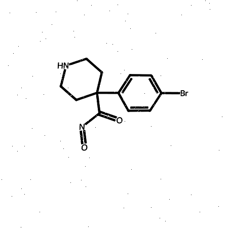 O=NC(=O)C1(c2ccc(Br)cc2)CCNCC1